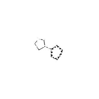 c1ccc(C2CC[N]C2)cc1